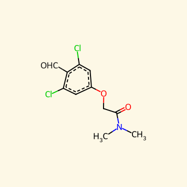 CN(C)C(=O)COc1cc(Cl)c(C=O)c(Cl)c1